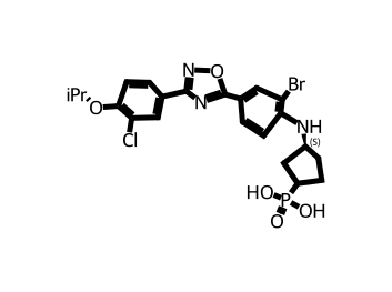 CC(C)Oc1ccc(-c2noc(-c3ccc(N[C@H]4CCC(P(=O)(O)O)C4)c(Br)c3)n2)cc1Cl